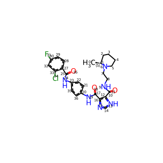 C[C@H]1CCCCN1CCNC(=O)c1[nH]cnc1C(=O)Nc1ccc(NC(=O)c2ccc(F)cc2Cl)cc1